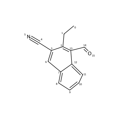 CCc1c(C#N)cc2ccccc2c1[C]=O